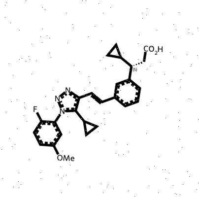 COc1ccc(F)c(-n2nnc(C=Cc3cccc([C@@H](CC(=O)O)C4CC4)c3)c2C2CC2)c1